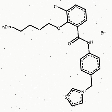 CCCCCCCCCCCCCCOc1c(Cl)cccc1C(=O)Nc1ccc(C[n+]2ccsc2)cc1.[Br-]